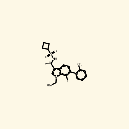 C[C@@H](NS(=O)(=O)C1CCC1)c1cn(CC(C)(C)C)c2c(F)c(-c3ccccc3C(F)(F)F)ccc12